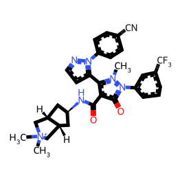 Cn1c(-c2ccnn2-c2ccc(C#N)cc2)c(C(=O)N[C@H]2C[C@@H]3C[N+](C)(C)C[C@@H]3C2)c(=O)n1-c1cccc(C(F)(F)F)c1